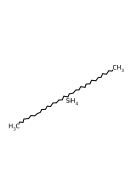 CCCCCCCCCCCCCCCCCCCCCCCCCCCCCCCCCCCC.[SiH4]